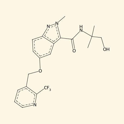 Cn1nc2ccc(OCc3cccnc3C(F)(F)F)cc2c1C(=O)NC(C)(C)CO